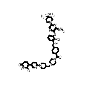 CC1(N)CCN(c2cnc(Sc3cccc(NCC4CCC(C(=O)N5CCN(CC6CCN(c7ccc(C8CCC(=O)NC8=O)cn7)CC6)CC5)CC4)c3Cl)c(N)n2)CC1